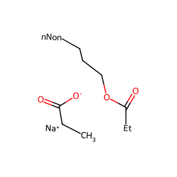 CCC(=O)[O-].CCCCCCCCCCCCOC(=O)CC.[Na+]